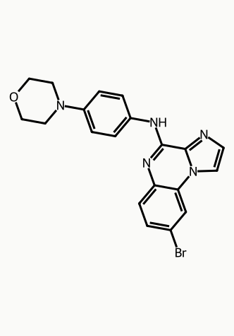 Brc1ccc2nc(Nc3ccc(N4CCOCC4)cc3)c3nccn3c2c1